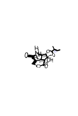 C/C=C(\C)C(=O)O[C@H]1[C@H]2NC(=O)C3=COC(=O)[C@@H]([C@@H]32)[C@@]1(C)O